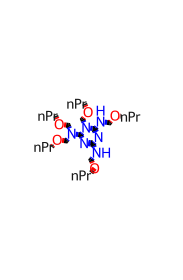 CCCOCNC1=NC(N(COCCC)COCCC)N(COCCC)C(NCOCCC)=N1